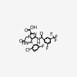 O=C1Cn2c(C(=O)O)nc(NC(=O)c3cc(F)cc(C(F)(F)F)c3)c2[C@H](c2cc(F)ccc2Cl)N1